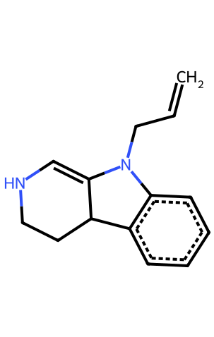 C=CCN1C2=CNCCC2c2ccccc21